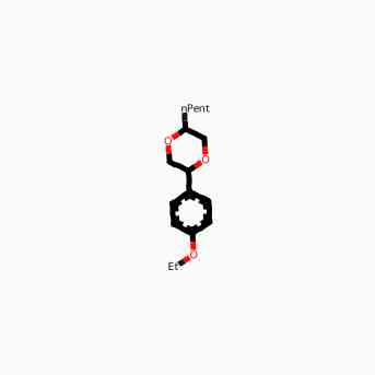 CCCCCC1COC(c2ccc(OCC)cc2)CO1